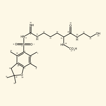 Cc1c(C)c(S(=O)(=O)NC(=N)NCCCC(NC(=O)O)C(=O)NCCO)c(C)c2c1OC(C)(C)C2